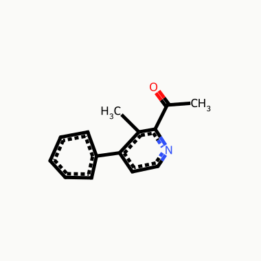 CC(=O)c1nccc(-c2ccccc2)c1C